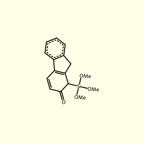 CO[Si](OC)(OC)C1C(=O)C=CC2=C1Cc1ccccc12